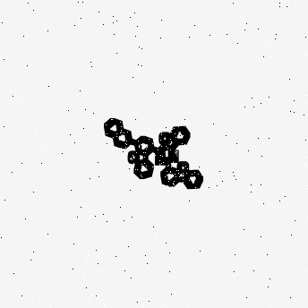 c1ccc2cc(-c3ccc(-c4nc(-c5cccc6c5oc5ccccc56)nc5c4oc4ccccc45)c4c3oc3ccccc34)ccc2c1